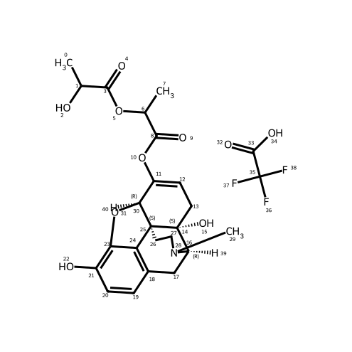 CC(O)C(=O)OC(C)C(=O)OC1=CC[C@@]2(O)[C@H]3Cc4ccc(O)c5c4[C@@]2(CCN3C)[C@H]1O5.O=C(O)C(F)(F)F